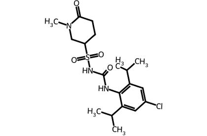 CC(C)c1cc(Cl)cc(C(C)C)c1NC(=O)NS(=O)(=O)C1CCC(=O)N(C)C1